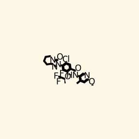 COc1cc(C)c(NC(=O)c2cc(Cl)c(-n3nc4n(c3=O)CCCC4)cc2O[C@@H](C)C(F)(F)F)cn1